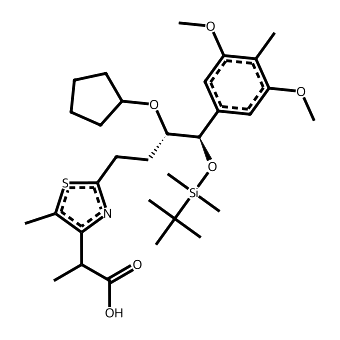 COc1cc([C@@H](O[Si](C)(C)C(C)(C)C)[C@H](CCc2nc(C(C)C(=O)O)c(C)s2)OC2CCCC2)cc(OC)c1C